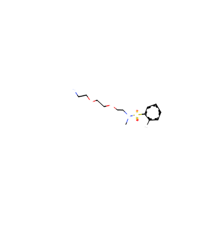 CN(CCOCCOCCN)S(=O)(=O)c1ccccc1[N+](=O)[O-]